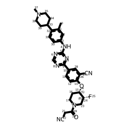 Cc1cc(Nc2ncnc(-c3ccc(O[C@H]4CCN(C(=O)CC#N)C[C@H]4F)c(C#N)c3)n2)ccc1C1CCN(C)CC1